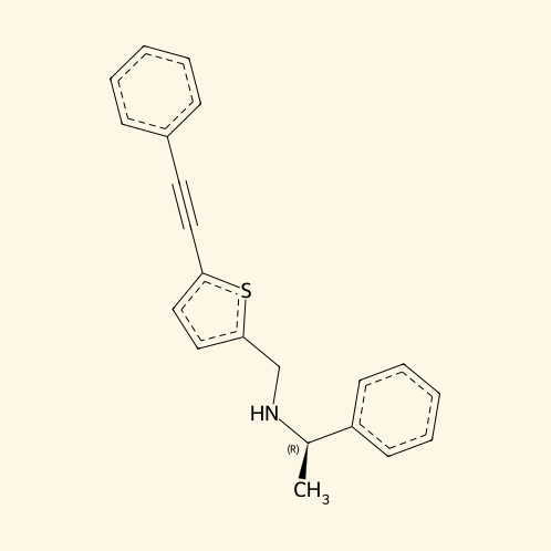 C[C@@H](NCc1ccc(C#Cc2ccccc2)s1)c1ccccc1